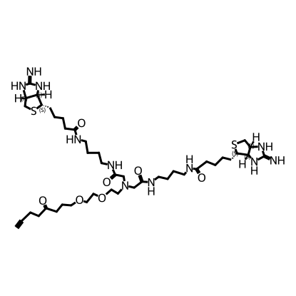 C#CCCC(=O)CCCOCCOCCN(CC(=O)NCCCCNC(=O)CCCC[C@@H]1SC[C@@H]2NC(=N)N[C@@H]21)CC(=O)NCCCCNC(=O)CCCC[C@@H]1SC[C@@H]2NC(=N)N[C@@H]21